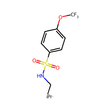 C[C](C)CNS(=O)(=O)c1ccc(OC(F)(F)F)cc1